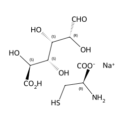 N[C@@H](CS)C(=O)[O-].O=C[C@H](O)[C@@H](O)[C@H](O)[C@H](O)C(=O)O.[Na+]